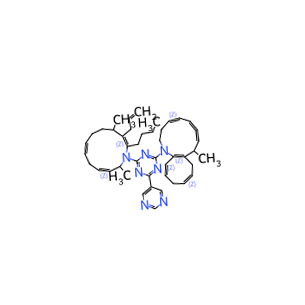 C=CC/C1=C(\CCCC)N(c2nc(-c3cncnc3)nc(N3CC/C=C\C=C=CC(C)/C4=C3/C=C\C/C=C\C4)n2)C(C)/C=C\CC=CCCC1C